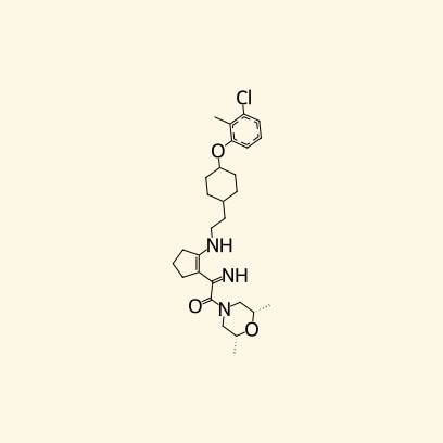 Cc1c(Cl)cccc1OC1CCC(CCNC2=C(C(=N)C(=O)N3C[C@@H](C)O[C@@H](C)C3)CCC2)CC1